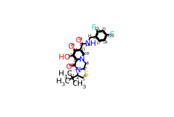 CC(C)(C)C1CSC2Cn3cc(C(=O)NCc4ccc(F)cc4F)c(=O)c(O)c3C(=O)N21